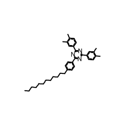 CCCCCCCCCCCCc1ccc(-c2nc(-c3ccc(C)c(C)c3)nc(-c3ccc(C)c(C)c3)n2)cc1